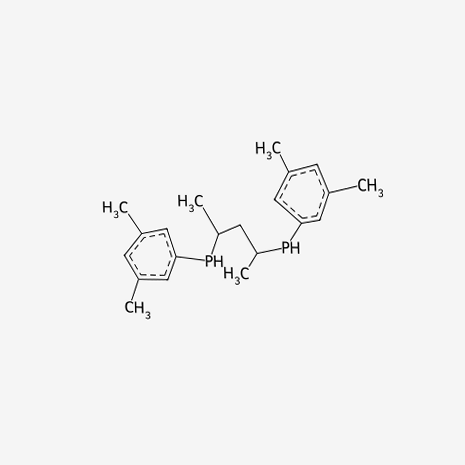 Cc1cc(C)cc(PC(C)CC(C)Pc2cc(C)cc(C)c2)c1